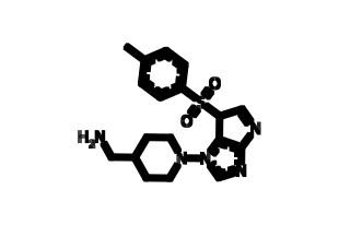 Cc1ccc(S(=O)(=O)C2C=Nc3ncn(N4CCC(CN)CC4)c32)cc1